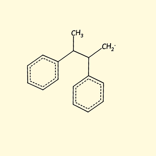 [CH2]C(c1ccccc1)C(C)c1ccccc1